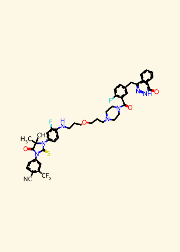 CC1(C)C(=O)N(c2ccc(C#N)c(C(F)(F)F)c2)C(=S)N1c1ccc(NCCCOCCCN2CCN(C(=O)c3cc(Cc4n[nH]c(=O)c5ccccc45)ccc3F)CC2)c(F)c1